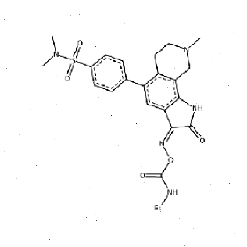 CCNC(=O)ON=C1C(=O)Nc2c1cc(-c1ccc(S(=O)(=O)N(C)C)cc1)c1c2CN(C)CC1